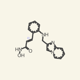 O=C(/C=C/c1ccccc1NCc1cn2ccccc2n1)NO